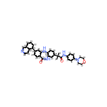 CC(C)(C(=O)Nc1ccc(N2CCOCC2)cc1)c1ccc2c(c1)NC(=O)c1ccc(-c3cccc4cnccc34)cc1N2